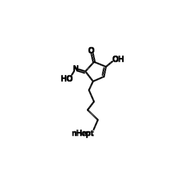 CCCCCCCCCCCC1C=C(O)C(=O)/C1=N/O